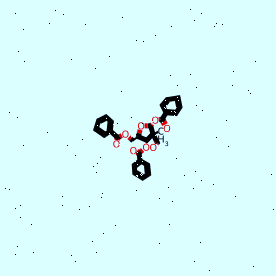 C[C@]1(C=O)C(OC(=O)c2ccccc2)O[C@H](COC(=O)c2ccccc2)[C@H]1OC(=O)c1ccccc1